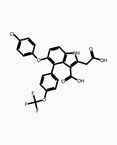 O=C(O)Cc1[nH]c2ccc(Oc3ccc(Cl)cc3)c(-c3ccc(OC(F)(F)F)cc3)c2c1C(=O)O